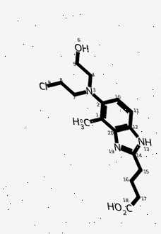 Cc1c(N(CCO)CCCl)ccc2[nH]c(CCCC(=O)O)nc12